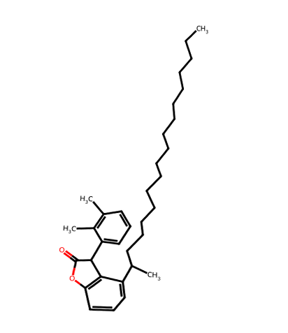 CCCCCCCCCCCCCCCCC(C)c1cccc2c1C(c1cccc(C)c1C)C(=O)O2